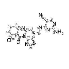 N#Cc1cnc(N)nc1/N=C/SCc1nc2cccc(Cl)c2c(=O)n1-c1cscn1